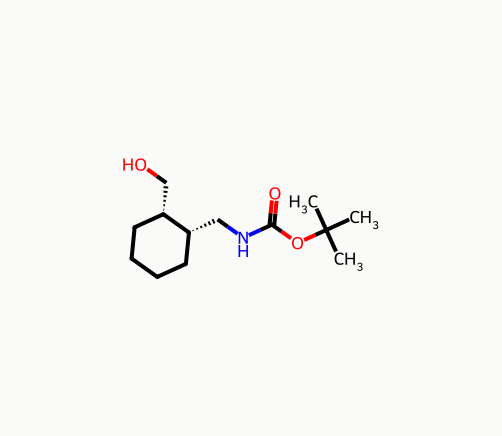 CC(C)(C)OC(=O)NC[C@@H]1CCCC[C@@H]1CO